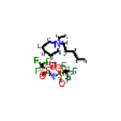 CCCCC[N+]1(CC)CCCCC1.O=S(=O)([N-]S(=O)(=O)C(F)(F)F)C(F)(F)F